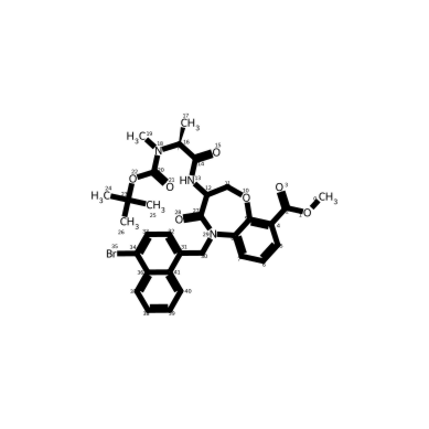 COC(=O)c1cccc2c1OCC(NC(=O)[C@H](C)N(C)C(=O)OC(C)(C)C)C(=O)N2Cc1ccc(Br)c2ccccc12